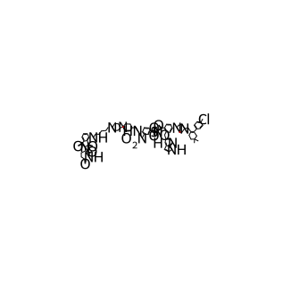 CC1(C)CCC(CN2CCN(c3ccc(C(=O)NS(=O)(=O)c4ccc(NCC5CCN(C6CCN(CCCCCNc7cccc8c7C(=O)N(C7CCC(=O)NC7=O)C8=O)CC6)CC5)c([N+](=O)[O-])c4)c(Oc4cnc5[nH]ccc5c4)c3)CC2)=C(c2ccc(Cl)cc2)C1